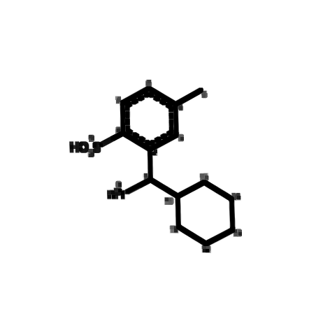 CCCC(c1cc(C)ccc1S(=O)(=O)O)C1CCCCC1